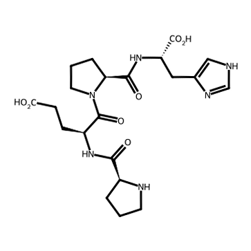 O=C(O)CC[C@H](NC(=O)[C@@H]1CCCN1)C(=O)N1CCC[C@H]1C(=O)N[C@@H](Cc1c[nH]cn1)C(=O)O